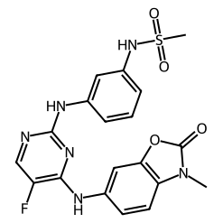 Cn1c(=O)oc2cc(Nc3nc(Nc4cccc(NS(C)(=O)=O)c4)ncc3F)ccc21